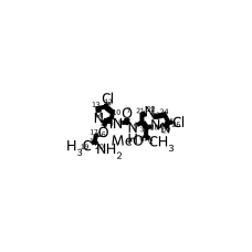 CO[C@@H](C)c1c(NC(=O)Nc2cc(Cl)cnc2OCC(C)N)cnc2cc(Cl)nn12